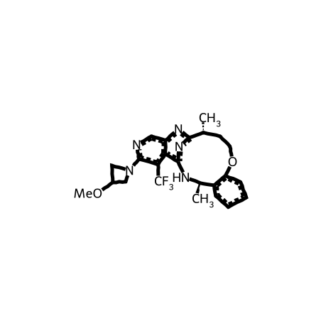 COC1CN(c2ncc3nc4nc(c3c2C(F)(F)F)N[C@H](C)c2ccccc2OCC[C@H]4C)C1